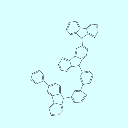 c1ccc(-c2ccc3c(c2)-c2ccccc2C3c2cccc(-c3cccc(C4c5ccccc5-c5cc(-n6c7ccccc7c7ccccc76)ccc54)c3)c2)cc1